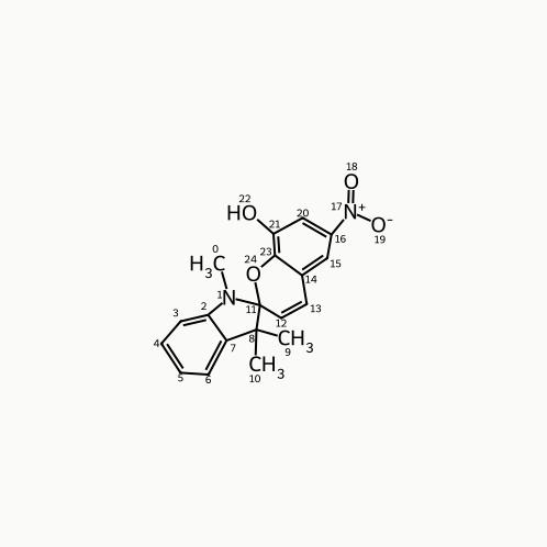 CN1c2ccccc2C(C)(C)C12C=Cc1cc([N+](=O)[O-])cc(O)c1O2